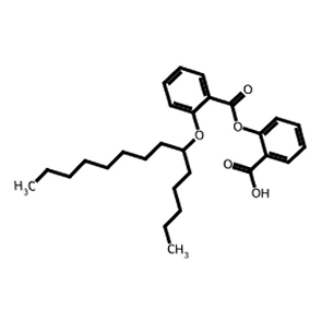 CCCCCCCCC(CCCCC)Oc1ccccc1C(=O)Oc1ccccc1C(=O)O